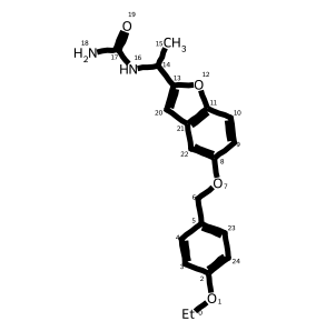 CCOc1ccc(COc2ccc3oc(C(C)NC(N)=O)cc3c2)cc1